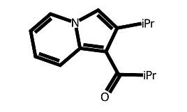 CC(C)C(=O)c1c(C(C)C)cn2ccccc12